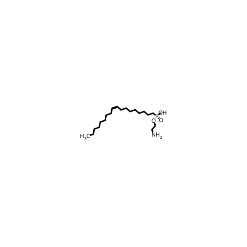 CCCCCCCC/C=C\CCCCCCCCP(=O)(O)OCCN